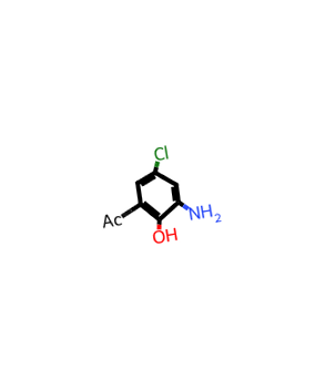 CC(=O)c1cc(Cl)cc(N)c1O